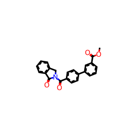 COC(=O)c1cccc(-c2ccc(C(=O)N3Cc4ccccc4C3=O)cc2)c1